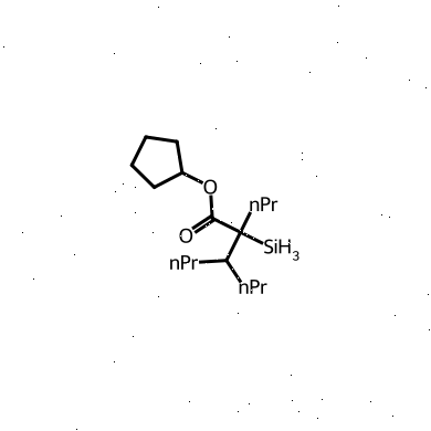 CCCC(CCC)C([SiH3])(CCC)C(=O)OC1CCCC1